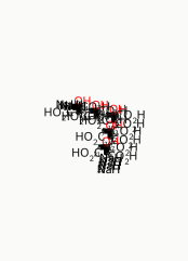 O=C(O)CC(O)(CC(=O)O)C(=O)O.O=C(O)CC(O)(CC(=O)O)C(=O)O.O=C(O)CC(O)(CC(=O)O)C(=O)O.O=C(O)CC(O)(CC(=O)O)C(=O)O.O=C(O)CC(O)(CC(=O)O)C(=O)O.[NaH].[NaH].[NaH].[NaH].[NaH].[NaH].[NaH]